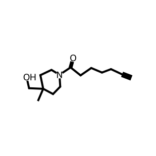 C#CCCCCC(=O)N1CCC(C)(CO)CC1